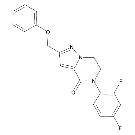 O=C1c2cc(COc3ccccc3)nn2CCN1c1ccc(F)cc1F